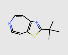 CC(C)(C)c1nc2c(s1)C=C=NC=C2